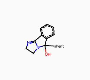 CCCCCC1(O)c2ccccc2C2=NCCN21